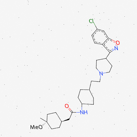 CO[C@]1(C)CC[C@@H](CC(=O)NC2CCC(CCN3CCC(c4noc5cc(Cl)ccc45)CC3)CC2)CC1